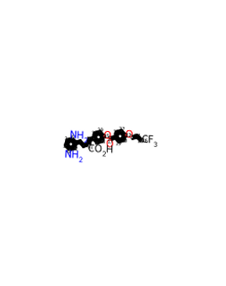 Nc1ccc(N)c(CCC(=Cc2ccc(OC(=O)c3ccc(OCCCC(F)(F)F)cc3)cc2)C(=O)O)c1